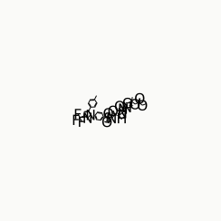 COC(=O)OC(C)O/N=[N+](\[O-])N1CC[C@H]1C(=O)NS(=O)(=O)c1ccc(-n2nc(C(F)(F)F)cc2-c2ccc(C)cc2)cc1